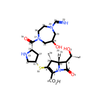 C[C@@H](O)[C@H]1C(=O)N2C(C(=O)O)=C(S[C@@H]3CN[C@H](C(=O)N4CCN(C=N)CC(O)C4)C3)[C@H](C)[C@H]12